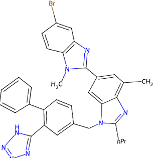 CCCc1nc2c(C)cc(-c3nc4cc(Br)ccc4n3C)cc2n1Cc1ccc(-c2ccccc2)c(-c2nnn[nH]2)c1